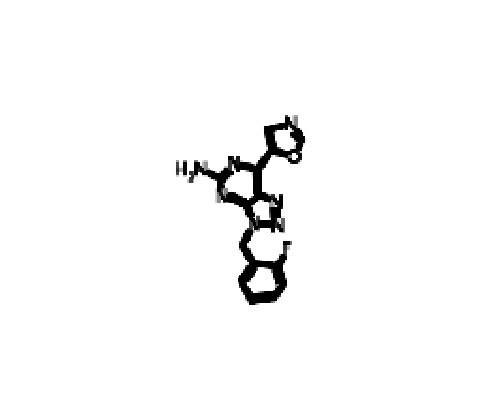 Nc1nc(-c2cnco2)c2nnn(Cc3ccccc3F)c2n1